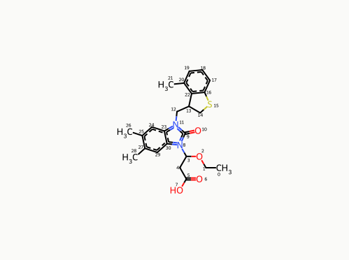 CCOC(CC(=O)O)n1c(=O)n(CC2CSc3cccc(C)c32)c2cc(C)c(C)cc21